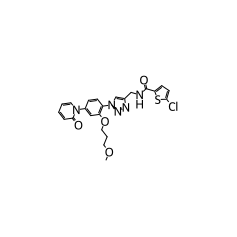 COCCCOc1cc(-n2ccccc2=O)ccc1-n1cc(CNC(=O)c2ccc(Cl)s2)nn1